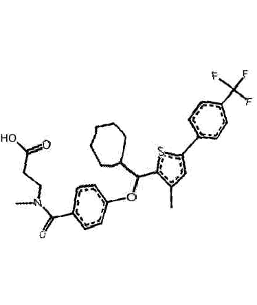 Cc1cc(-c2ccc(C(F)(F)F)cc2)sc1C(Oc1ccc(C(=O)N(C)CCC(=O)O)cc1)C1CCCCC1